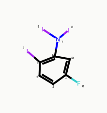 Fc1ccc(I)c(N(I)I)c1